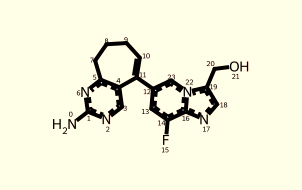 Nc1ncc2c(n1)CCCC=C2c1cc(F)c2ncc(CO)n2c1